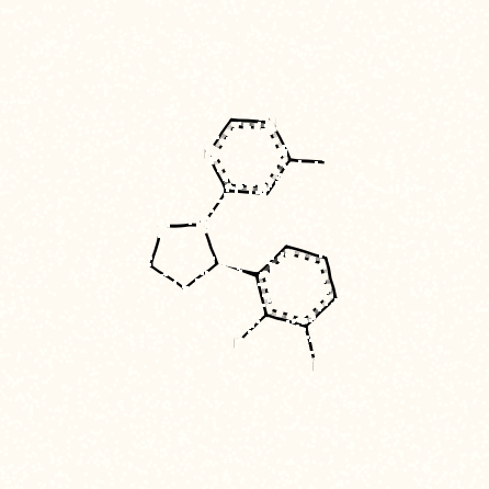 Fc1cccc([C@H]2CCON2c2cc(Cl)ncn2)c1F